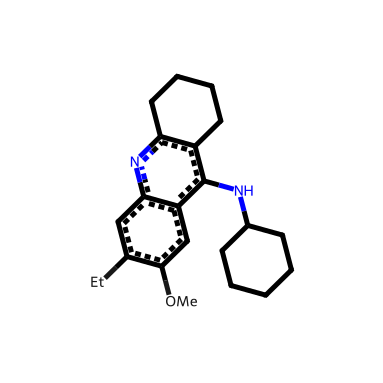 CCc1cc2nc3c(c(NC4CCCCC4)c2cc1OC)CCCC3